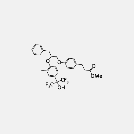 COC(=O)CCc1ccc(OC[C@H](Cc2ccccc2)Oc2ccc(C(O)(C(F)(F)F)C(F)(F)F)cc2C)cc1